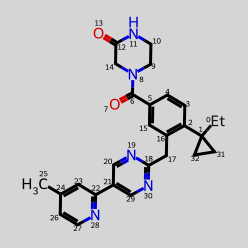 CCC1(c2ccc(C(=O)N3CCNC(=O)C3)cc2Cc2ncc(-c3cc(C)ccn3)cn2)CC1